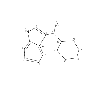 [CH2]CC(c1c[nH]c2ccccc12)C1CCCCC1